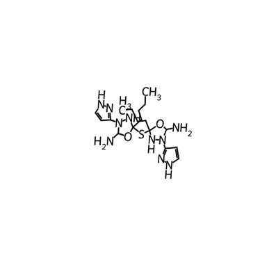 CCCCC1(SC2(CCCC)NN(c3cc[nH]n3)C(N)O2)NN(c2cc[nH]n2)C(N)O1